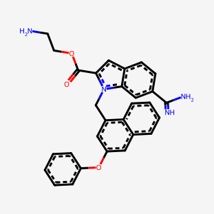 N=C(N)c1ccc2cc(C(=O)OCCN)n(Cc3cc(Oc4ccccc4)cc4ccccc34)c2c1